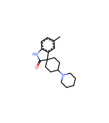 Cc1ccc2c(c1)C1(CCC(N3CCCCC3)CC1)C(=O)N2